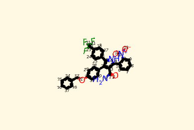 NC(=O)c1c(-c2ccccc2[N+](=O)[O-])[nH]c(-c2ccc(C(F)(F)F)cc2)c1-c1ccc(OCc2ccccc2)cc1